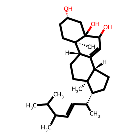 CC(C)C(C)C=CC(C)[C@H]1CC[C@H]2C3=CC(O)C4(O)C[C@@H](O)CC[C@]4(C)[C@H]3CC[C@]12C